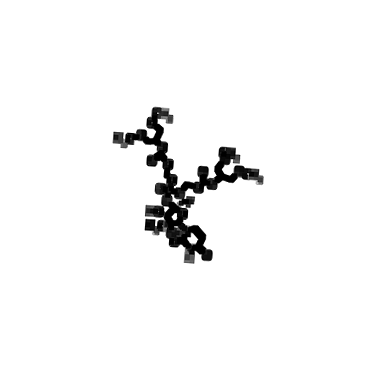 COCC(COC)OC(=O)OCOP(=O)(OCOC(=O)OC(COC)COC)O[C@@]1(CF)O[C@@H](n2ccc(=O)[nH]c2=O)[C@](C)(O)[C@@H]1O